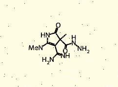 CNC1=C(C(=N)N)C(C)(C(=O)NN)C(=O)N1